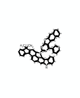 CC1(C)c2ccccc2-c2c1cc1c3c2ccc2cc4[nH]c5ccccc5c4c(c23)n1-c1nc(-c2cccnc2)c2c(n1)oc1cc3ccccc3cc12